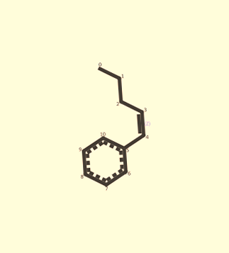 CCC/C=C\c1[c]cccc1